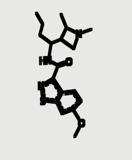 CCCC(NC(=O)c1nsc2cc(OC)ccc12)C1CN(C)C1C